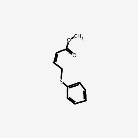 COC(=O)/C=[C]\CSc1ccccc1